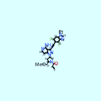 C=CC(=O)N1C[C@@H](n2nc(C#Cc3c(F)cc4c(ncn4CC)c3F)c3c(N)nccc32)C[C@@H]1COC